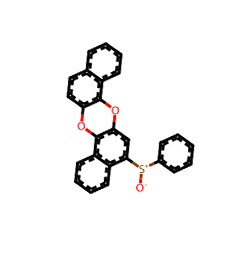 [O-][S+](c1ccccc1)c1cc2c(c3ccccc13)Oc1ccc3ccccc3c1O2